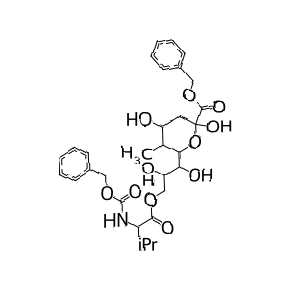 CC(C)C(NC(=O)OCc1ccccc1)C(=O)OCC(O)C(O)C1OC(O)(C(=O)OCc2ccccc2)CC(O)C1C